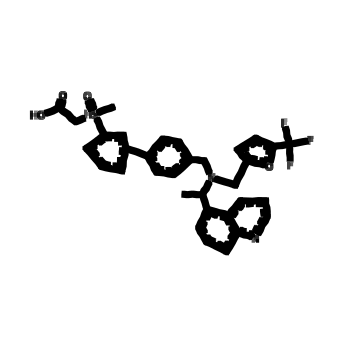 CC(c1cccc2ncccc12)N(Cc1ccc(-c2cccc([SH](C)(=O)CC(=O)O)c2)cc1)Cc1ccc(C(F)(F)F)o1